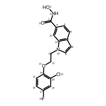 O=C(NO)c1ccc2ccn(CCOc3ccc(F)cc3Cl)c2c1